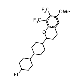 CCC1CCC(C2CCC(C3CCc4cc(OC)c(C(F)(F)F)c(C(F)(F)F)c4O3)CC2)CC1